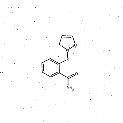 NC(=O)c1ccccc1SN1CC=CO1